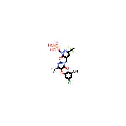 CC(F)(F)c1cc(Cn2cnc(C(F)(F)F)c(Oc3cc(Cl)cc(C#N)c3)c2=O)c(=O)n(COP(=O)(O)O)n1